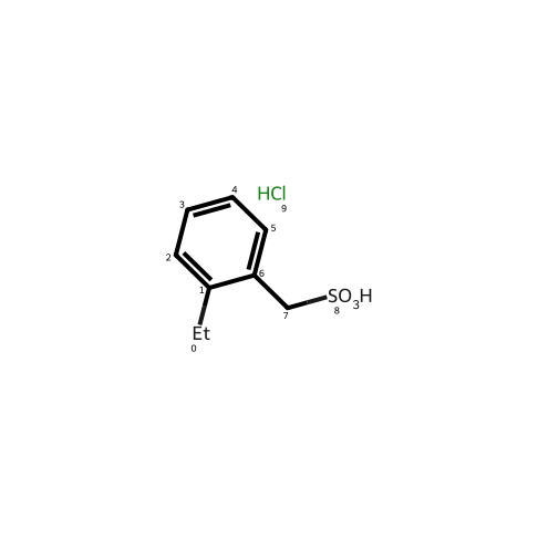 CCc1ccccc1CS(=O)(=O)O.Cl